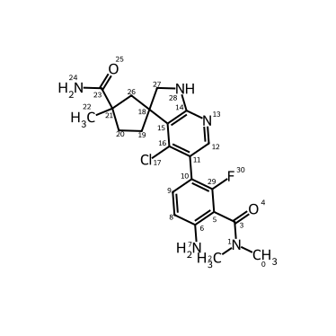 CN(C)C(=O)c1c(N)ccc(-c2cnc3c(c2Cl)C2(CCC(C)(C(N)=O)C2)CN3)c1F